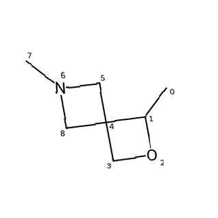 CC1OCC12CN(C)C2